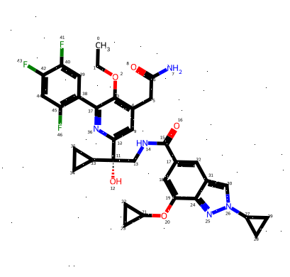 CCOc1c(CC(N)=O)cc([C@@](O)(CNC(=O)c2cc(OC3CC3)c3nn(C4CC4)cc3c2)C2CC2)nc1-c1cc(F)c(F)cc1F